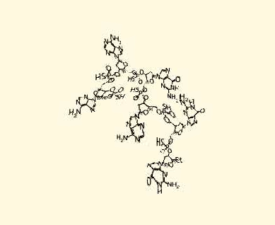 CC[C@H]1O[C@@H](n2cnc3c(=O)[nH]c(N)nc32)CC1OP(=O)(S)OC[C@H]1O[C@@H](n2cnc3c(=O)[nH]c(N)nc32)CC1OP(=O)(S)OC[C@H]1O[C@@H](n2cnc3c(N)ncnc32)CC1OP(=O)(S)OC[C@H]1O[C@@H](n2cnc3c(=O)[nH]c(N)nc32)CC1OP(=O)(S)OC[C@H]1O[C@@H](n2cnc3c(N)ncnc32)CC1OP(=O)(S)OC[C@H]1O[C@@H](n2cnc3c(N)ncnc32)CC1OP(=O)(S)OC